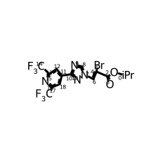 CC(C)OC(=O)/C(Br)=C/n1cnc(-c2cc(C(F)(F)F)nc(C(F)(F)F)c2)n1